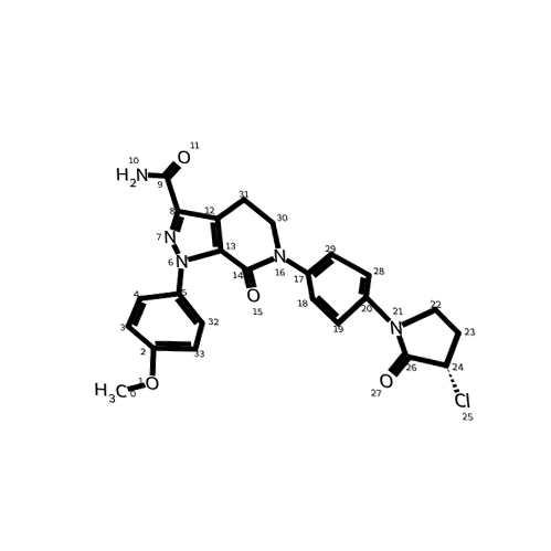 COc1ccc(-n2nc(C(N)=O)c3c2C(=O)N(c2ccc(N4CC[C@H](Cl)C4=O)cc2)CC3)cc1